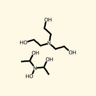 CC(O)N(O)C(C)O.OCCN(CCO)CCO